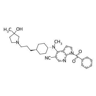 CN(c1c(C#N)cnc2c1ccn2S(=O)(=O)c1ccccc1)[C@H]1CC[C@H](CCCN2CCC(C)(O)C2)CC1